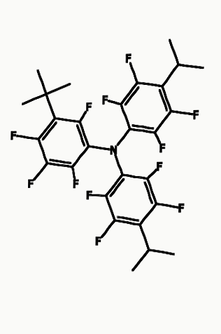 CC(C)c1c(F)c(F)c(N(c2c(F)c(F)c(C(C)C)c(F)c2F)c2c(F)c(F)c(F)c(C(C)(C)C)c2F)c(F)c1F